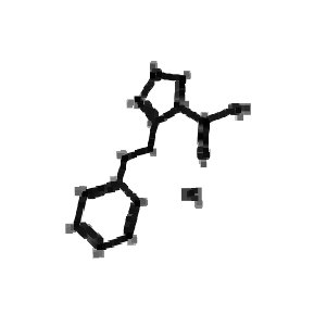 Cl.O=C(O)c1conc1CCc1ccccc1